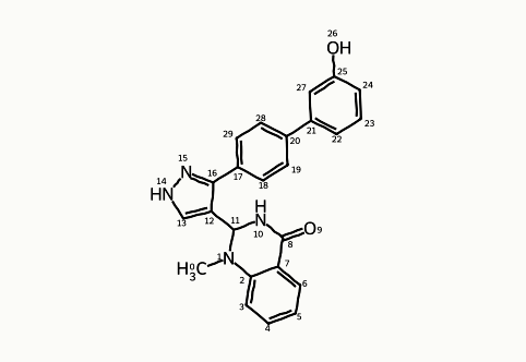 CN1c2ccccc2C(=O)NC1c1c[nH]nc1-c1ccc(-c2cccc(O)c2)cc1